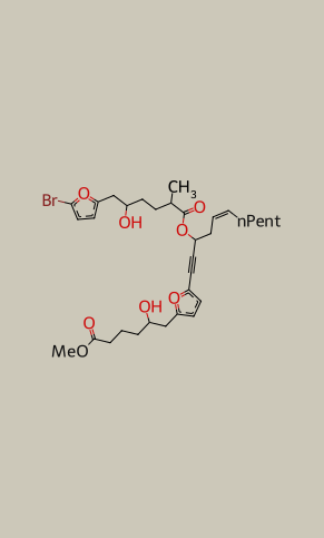 CCCCC/C=C\CC(C#Cc1ccc(CC(O)CCCC(=O)OC)o1)OC(=O)C(C)CCC(O)Cc1ccc(Br)o1